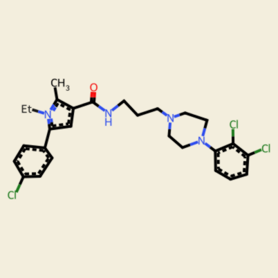 CCn1c(-c2ccc(Cl)cc2)cc(C(=O)NCCCN2CCN(c3cccc(Cl)c3Cl)CC2)c1C